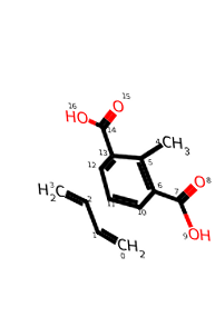 C=CC=C.Cc1c(C(=O)O)cccc1C(=O)O